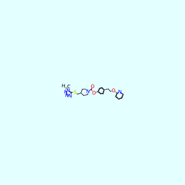 Cn1nnnc1SCC1CCN(C(=O)Oc2ccc(CCOc3ccccn3)cc2)CC1